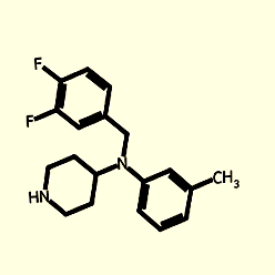 Cc1cccc(N(Cc2ccc(F)c(F)c2)C2CCNCC2)c1